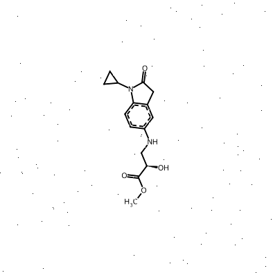 COC(=O)[C@H](O)CNc1ccc2c(c1)CC(=O)N2C1CC1